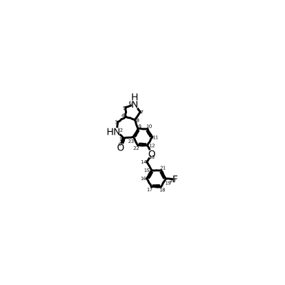 O=C1NCC2CNCC2c2ccc(OCc3cccc(F)c3)cc21